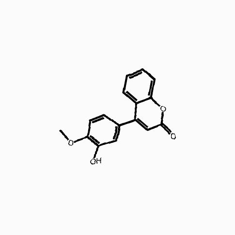 COc1ccc(-c2cc(=O)oc3ccccc23)cc1O